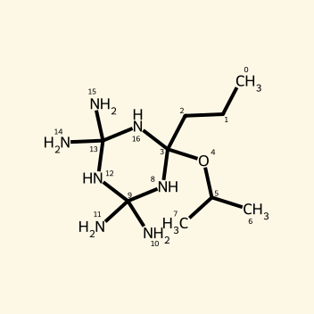 CCCC1(OC(C)C)NC(N)(N)NC(N)(N)N1